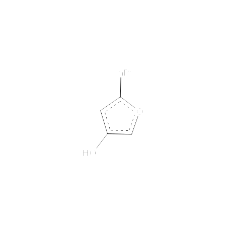 CCCc1cc(O)co1